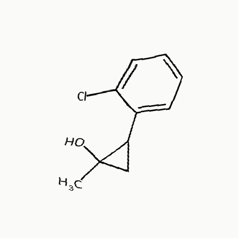 CC1(O)CC1c1ccccc1Cl